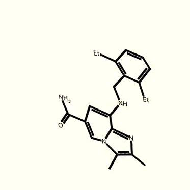 CCc1cccc(CC)c1CNc1cc(C(N)=O)cn2c(C)c(C)nc12